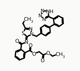 CCOC(=O)COC(=O)c1ccccc1C(=O)N=c1sc(CC)nn1Cc1ccc(-c2ccccc2-c2nnn[nH]2)cc1